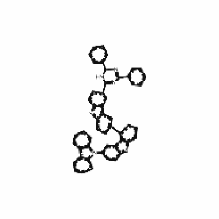 c1ccc(C2=NC(c3ccccc3)NC(c3ccc4sc5ccc(-c6cccc7sc8ccc(-n9c%10ccccc%10c%10ccccc%109)cc8c67)cc5c4c3)=N2)cc1